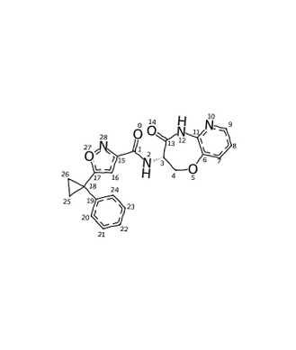 O=C(N[C@H]1COc2cccnc2NC1=O)c1cc(C2(c3ccccc3)CC2)on1